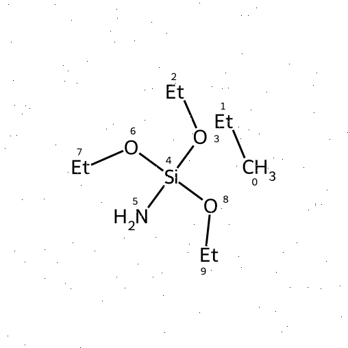 CCC.CCO[Si](N)(OCC)OCC